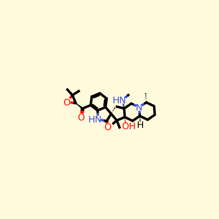 CN[C@@]12CN3[C@@H](CCC[C@H]3C)C[C@@]1(O)C(C)(C)[C@@]1(C2)C(=O)Nc2c(C(=O)[C@H]3OC3(C)C)cccc21